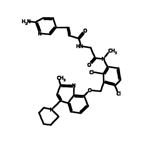 Cc1cc(N2CCCCC2)c2cccc(OCc3c(Cl)ccc(N(C)C(=O)CNC(=O)/C=C/c4ccc(N)nc4)c3Cl)c2n1